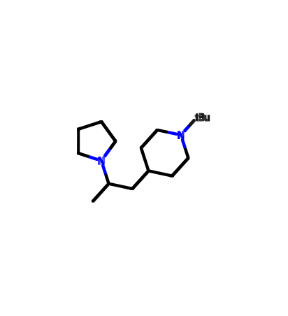 CC(CC1CCN(C(C)(C)C)CC1)N1CCCC1